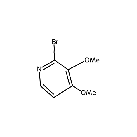 COc1ccnc(Br)c1OC